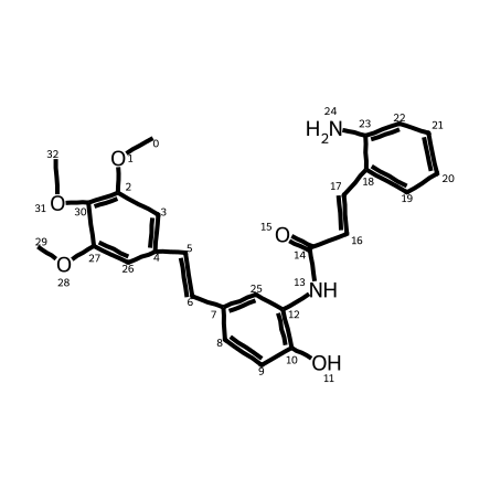 COc1cc(/C=C/c2ccc(O)c(NC(=O)/C=C/c3ccccc3N)c2)cc(OC)c1OC